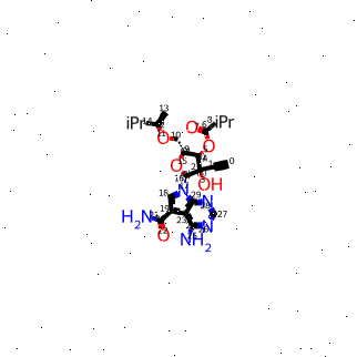 C#C[C@@]1(O)[C@H](OC(=O)C(C)C)[C@@H](COC(=C)C(C)C)O[C@H]1n1cc(C(N)=O)c2c(N)ncnc21